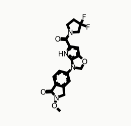 CON1Cc2cc(N3COc4cc(C(=O)N5CCC(F)(F)C5)[nH]c43)ccc2C1=O